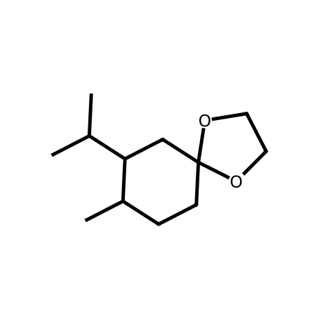 CC(C)C1CC2(CCC1C)OCCO2